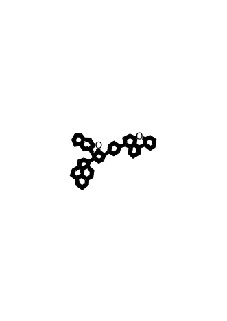 c1ccc2c(c1)Oc1ccc(-c3ccc(-c4ccc(-c5ccc6ccc7cccc8ccc5c6c78)c5c4oc4cc6ccccc6cc45)cc3)c3cccc-2c13